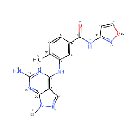 CCn1ncc2c(Nc3cc(C(=O)Nc4ccon4)ccc3C)nc(N)nc21